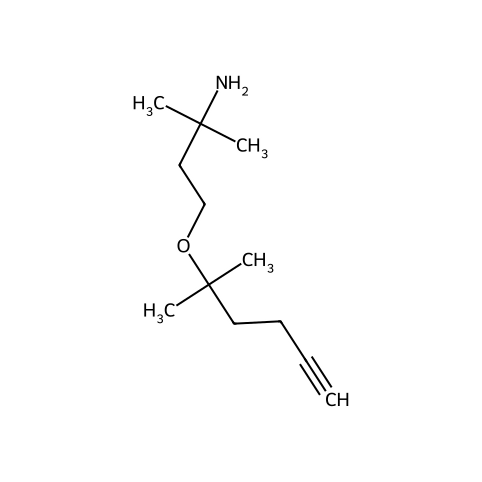 C#CCCC(C)(C)OCCC(C)(C)N